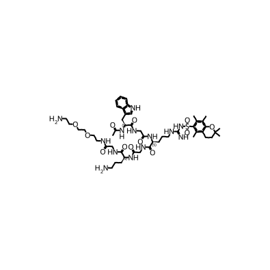 CC(=O)N[C@@H](Cc1c[nH]c2ccccc12)C(=O)NCC(=O)N[C@@H](CCCNC(=N)NS(=O)(=O)c1c(C)c(C)c2c(c1C)CCC(C)(C)O2)C(=O)NCC(=O)N[C@@H](CCCN)C(=O)NCC(=O)NCCOCCOCCN